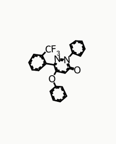 O=c1cc(Oc2ccccc2)c(-c2ccccc2C(F)(F)F)nn1-c1ccccc1